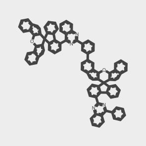 c1ccc(-c2nc(-c3cccc4c3-c3ccccc3C43c4ccc5ccccc5c4Oc4c3ccc3ccc(-c5cccc(-c6nc(-c7cccc8c7-c7ccccc7C87c8ccc9ccccc9c8Oc8c7ccc7ccccc87)c7ccccc7n6)c5)cc43)nc3ccccc23)cc1